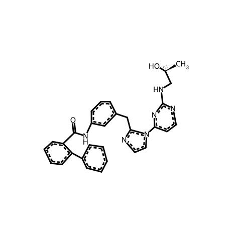 C[C@H](O)CNc1nccc(-n2ccnc2Cc2cccc(NC(=O)c3ccccc3-c3ccccc3)c2)n1